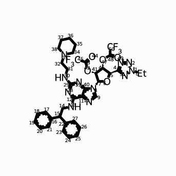 CCn1nnc([C@H]2O[C@@H](n3cnc4c(NCC(c5ccccc5)c5ccccc5)nc(NCCN5CCCCC5)nc43)[C@H](OC(=O)C(F)(F)F)[C@@H]2OC(=O)C(F)(F)F)n1